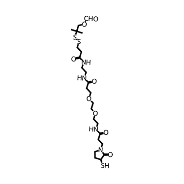 CC(C)(COC=O)SSCCC(=O)NCCNC(=O)CCOCCOCCNC(=O)CCN1CCC(S)C1=O